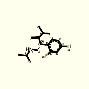 C=C(C(C)C)[C@@H](CNC(C)C)c1ccc(Cl)cc1F